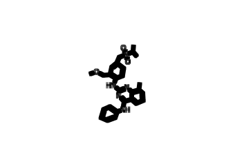 COCc1cc(CS(=O)(=O)C(C)C)ccc1Nc1nc(Nc2ccccc2)c2cccc(C)c2n1